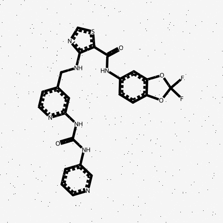 O=C(Nc1cccnc1)Nc1cc(CNc2ncsc2C(=O)Nc2ccc3c(c2)OC(F)(F)O3)ccn1